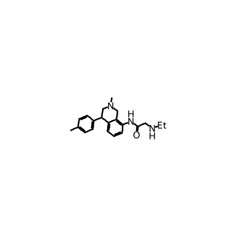 CCNCC(=O)Nc1cccc2c1CN(C)CC2c1ccc(C)cc1